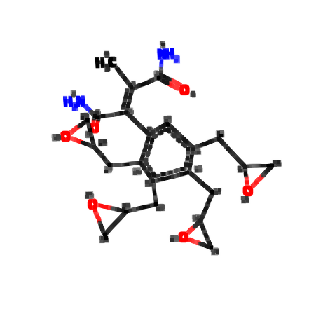 CC(C(N)=O)=C(C(N)=O)c1cc(CC2CO2)c(CC2CO2)c(CC2CO2)c1CC1CO1